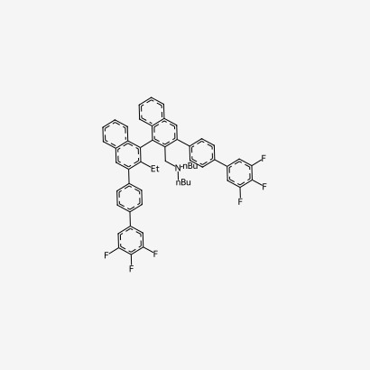 CCCCN(CCCC)Cc1c(-c2ccc(-c3cc(F)c(F)c(F)c3)cc2)cc2ccccc2c1-c1c(CC)c(-c2ccc(-c3cc(F)c(F)c(F)c3)cc2)cc2ccccc12